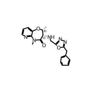 C[C@H]1Oc2cccnc2N(C)C(=O)[C@H]1NCc1nnc(Cc2ccccc2)o1